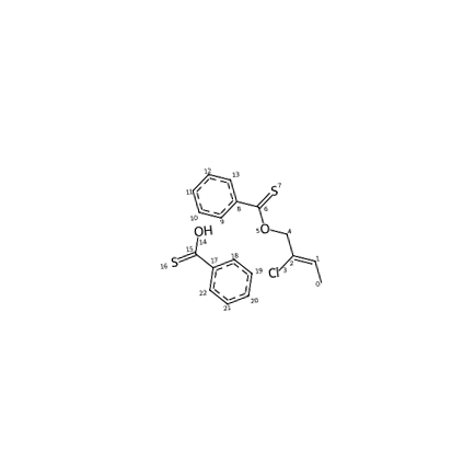 CC=C(Cl)COC(=S)c1ccccc1.OC(=S)c1ccccc1